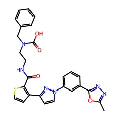 Cc1nnc(-c2cccc(-n3ccc(-c4ccsc4C(=O)NCCN(Cc4ccccc4)C(=O)O)n3)c2)o1